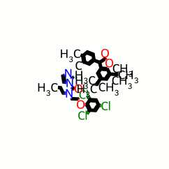 CCCN(CCOc1c(Cl)cc(Cl)cc1Cl)C(=O)n1ccnc1.Cc1ccc(C2C(=O)Oc3c2cc(C(C)(C)C)cc3C(C)(C)C)cc1C